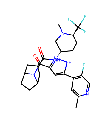 Cc1cc(-c2cc(C(=O)N3C4CCC3CC(C(=O)N[C@H]3CC[C@H](C(F)(F)F)N(C)C3)C4)n[nH]2)c(F)cn1